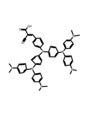 CN(C)c1ccc(N(c2ccc(N(C)C)cc2)c2ccc(N(c3ccc(/C=C(\C#N)C(=O)O)cc3)c3ccc(N(c4ccc(N(C)C)cc4)c4ccc(N(C)C)cc4)cc3)cc2)cc1